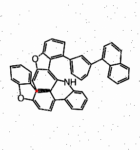 c1cc(-c2cccc3ccccc23)cc(-c2cccc3oc4cccc(Nc5ccccc5-c5ccc6oc7ccccc7c6c5)c4c23)c1